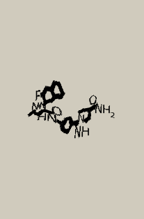 Cc1cc(C(=O)Nc2ccc(C(=N)N3CCC(C(N)=O)CC3)cc2)n(-c2cc3ccccc3cc2F)n1